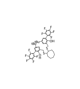 CC(C)(C)c1cc(CSC2CCCCCCC2SCc2cc(C(C)(C)C)cc(-c3c(F)c(F)c(F)c(F)c3F)c2O)c(O)c(-c2c(F)c(F)c(F)c(F)c2F)c1